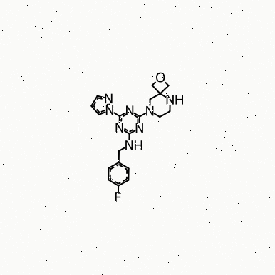 Fc1ccc(CNc2nc(N3CCNC4(COC4)C3)nc(-n3cccn3)n2)cc1